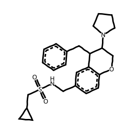 O=S(=O)(CC1CC1)NCc1ccc2c(c1)C(Cc1ccccc1)C(N1CCCC1)CO2